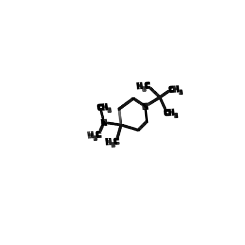 CN(C)C1(C)CCN(C(C)(C)C)CC1